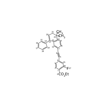 CCOC(=O)c1ccc(C#Cc2ccc3c(c2)C(c2ccccc2)=CCC3(C)C)cc1F